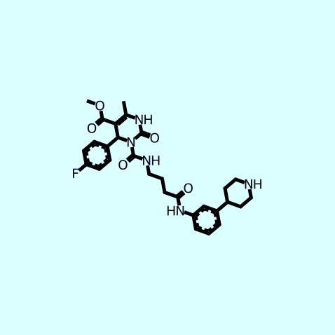 COC(=O)C1=C(C)NC(=O)N(C(=O)NCCCC(=O)Nc2cccc(C3CCNCC3)c2)C1c1ccc(F)cc1